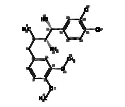 COc1ccc(CC(C)[C@@H](N)[C@H](O)c2ccc(Cl)c(Cl)c2)cc1OC